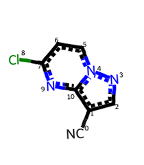 N#Cc1cnn2ccc(Cl)nc12